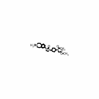 COC(=O)CN(C(C)=O)C1CCC(N2CCN(c3ccc4c(c3)CCN(C)CC4)C2=O)CC1